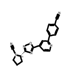 N#Cc1ccc(-c2cc(-c3nc([C@@H]4CCCN4C#N)no3)ccn2)cc1